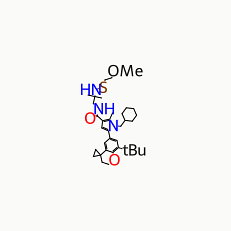 COCCSNC(C)(C)CNC(=O)c1cc(-c2cc(C(C)(C)C)c3c(c2)C2(CCO3)CC2)n(CC2CCCCC2)c1C